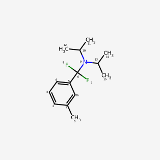 Cc1cccc(C(F)(F)N(C(C)C)C(C)C)c1